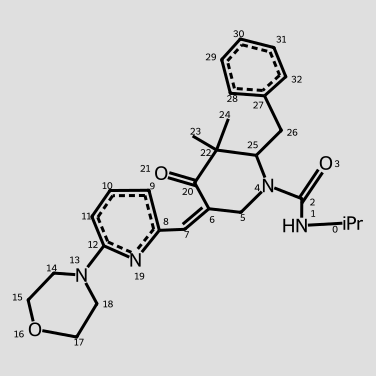 CC(C)NC(=O)N1CC(=Cc2cccc(N3CCOCC3)n2)C(=O)C(C)(C)C1Cc1ccccc1